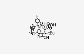 CC(C)(C)CNc1c(C#N)cnc2c(Cl)cc(N(C(=O)OCOP(=O)(O)O)C(c3ccc(F)cc3)c3cn(C4CC4)nn3)cc12